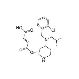 CC(C)CN(Cc1ccccc1Cl)C1CCNCC1.O=C(O)C=CC(=O)O